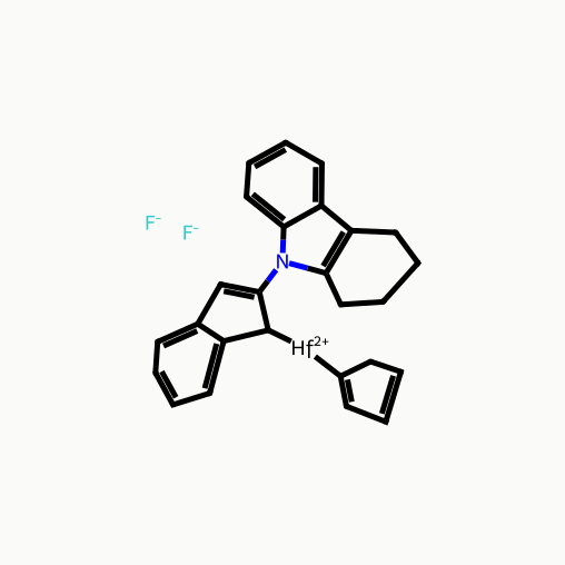 C1=CC[C]([Hf+2][CH]2C(n3c4c(c5ccccc53)CCCC4)=Cc3ccccc32)=C1.[F-].[F-]